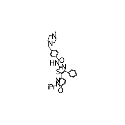 CC(C)n1nc(-c2sc(NC(=O)c3ccc(CN4CCN(C)CC4)cc3)nc2-c2ccccc2)ccc1=O